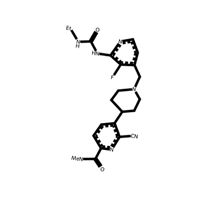 CCNC(=O)Nc1nccc(CN2CCC(c3ccc(C(=O)NC)nc3C#N)CC2)c1F